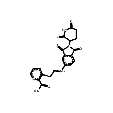 NC(=O)c1ncccc1CCNc1ccc2c(c1)C(=O)N(C1CCC(=O)NC1=O)C2=O